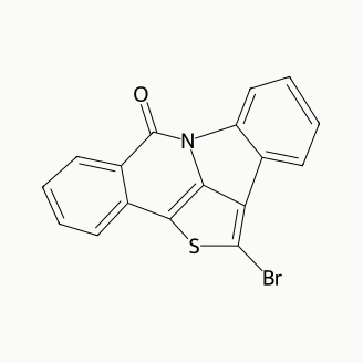 O=c1c2ccccc2c2sc(Br)c3c4ccccc4n1c23